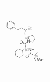 CCN(CCc1ccccc1)C[C@@H]1CCCN1C(=O)[C@H](NC(=O)[C@H](C)NC)C1CCCCC1